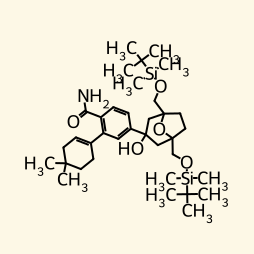 CC1(C)CC=C(c2cc(C3(O)CC4(CO[Si](C)(C)C(C)(C)C)CCC(CO[Si](C)(C)C(C)(C)C)(C3)O4)ccc2C(N)=O)CC1